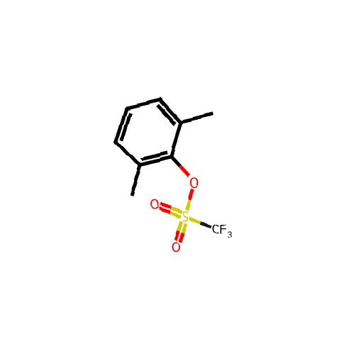 Cc1cccc(C)c1OS(=O)(=O)C(F)(F)F